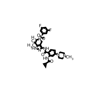 CN1CCN(c2ccc(C(=O)Nc3n[nH]c4c3CN(S(=O)(=O)c3cc(F)cc(F)c3)CC4(C)C)c(NC(=O)C3CC3)c2)CC1